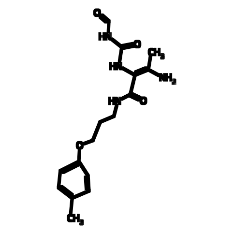 C/C(N)=C(\NC(=O)NC=O)C(=O)NCCCOc1ccc(C)cc1